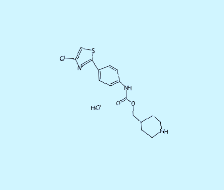 Cl.O=C(Nc1ccc(-c2nc(Cl)cs2)cc1)OCC1CCNCC1